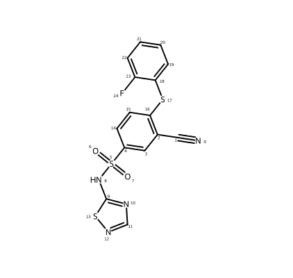 N#Cc1cc(S(=O)(=O)Nc2ncns2)ccc1Sc1ccccc1F